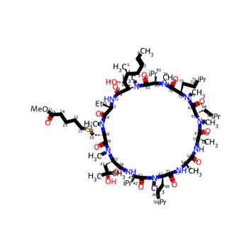 C/C=C/C[C@@H](C)[C@@H](O)[C@H]1C(=O)N[C@H](CC)C(=O)N(C)[C@@H](CSCCCCC(=O)OC)C(=O)N(C)[C@@H](CC(C)(C)O)C(=O)N[C@H](C(C)C)C(=O)N(C)[C@H](CCC(C)C)C(=O)N[C@H](C)C(=O)N[C@@H](C)C(=O)N(C)[C@@H](CC(C)C)C(=O)N(C)[C@H](CCC(C)C)C(=O)N(C)[C@H](C(C)C)C(=O)N1C